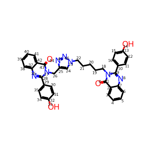 O=c1c2ccccc2nc(-c2ccc(O)cc2)n1CCCCCn1cc(Cn2c(-c3ccc(O)cc3)nc3ccccc3c2=O)nn1